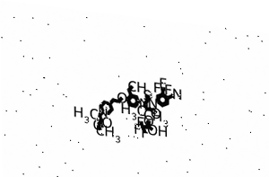 CCc1cc(N2C(=S)N(c3ccc(C#N)c(C(F)(F)F)c3)C(=O)C2(C)C)ccc1OCCC1CCN(C(C)C(=O)OC)CC1.O=C(O)C(F)(F)F